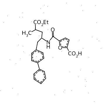 CCOC(=O)C(C)CC(Cc1ccc(-c2ccccc2)cc1)NC(=O)c1ccc(C(=O)O)o1